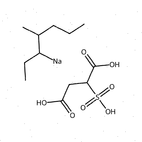 CCCC(C)[CH]([Na])CC.O=C(O)CC(C(=O)O)S(=O)(=O)O